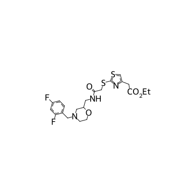 CCOC(=O)Cc1csc(SCC(=O)NCC2CN(Cc3ccc(F)cc3F)CCO2)n1